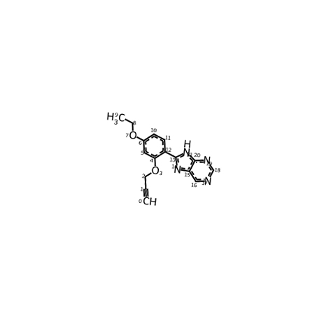 C#CCOc1cc(OCC)ccc1-c1nc2cncnc2[nH]1